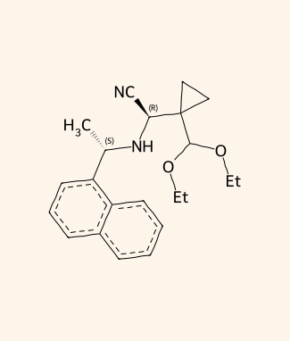 CCOC(OCC)C1([C@H](C#N)N[C@@H](C)c2cccc3ccccc23)CC1